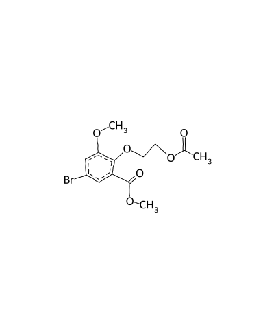 COC(=O)c1cc(Br)cc(OC)c1OCCOC(C)=O